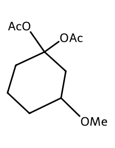 COC1CCCC(OC(C)=O)(OC(C)=O)C1